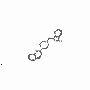 c1ccc2nc(N3CCN(Cc4n[nH]c5ccccc45)CC3)ccc2c1